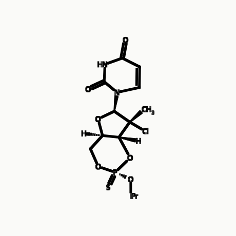 CC(C)O[P@]1(=S)OC[C@H]2O[C@@H](n3ccc(=O)[nH]c3=O)[C@](C)(Cl)[C@@H]2O1